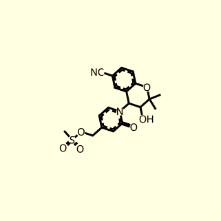 CC1(C)Oc2ccc(C#N)cc2C(n2ccc(COS(C)(=O)=O)cc2=O)C1O